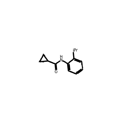 CC(C)c1ccccc1NC(=O)C1CC1